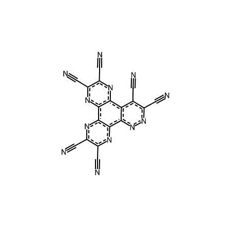 N#Cc1nc2c(nc1C#N)c1nnc(C#N)c(C#N)c1c1nc(C#N)c(C#N)nc21